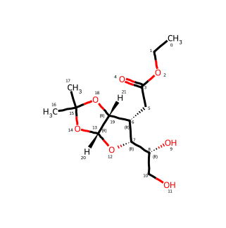 CCOC(=O)C[C@@H]1[C@H]([C@H](O)CO)O[C@@H]2OC(C)(C)O[C@@H]21